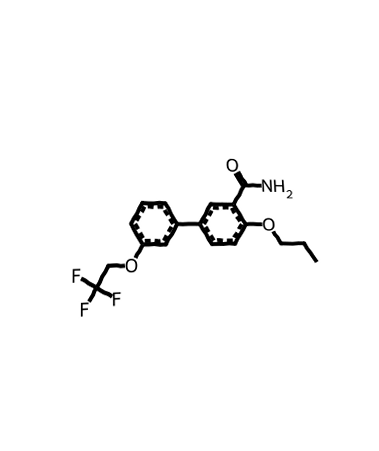 CCCOc1ccc(-c2cccc(OCC(F)(F)F)c2)cc1C(N)=O